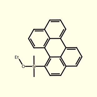 CCO[Si](C)(C)c1ccc2cccc3c4cccc5cccc(c1c23)c54